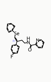 O=C(NCC/C(=C\[Se]c1ccccc1)c1ccc(F)cc1)c1ccccn1